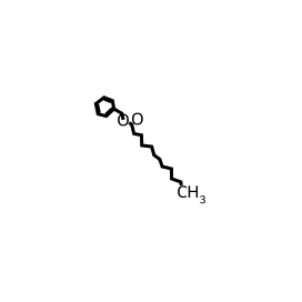 CCCCCCCCCCCC(=O)OCc1ccccc1